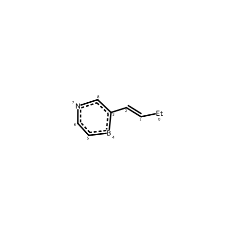 CCC=Cc1bccnc1